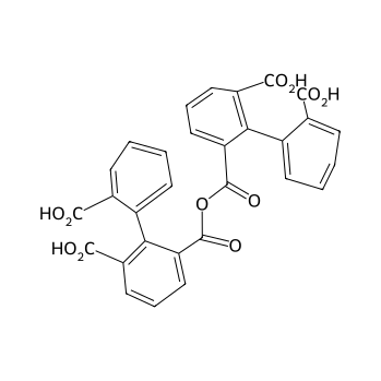 O=C(O)c1ccccc1-c1c(C(=O)O)cccc1C(=O)OC(=O)c1cccc(C(=O)O)c1-c1ccccc1C(=O)O